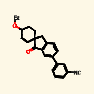 [C-]#[N+]c1cccc(-c2ccc3c(c2)C(=O)C2(CCC(OCC)CC2)C3)c1